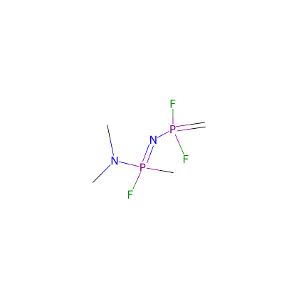 C=P(F)(F)N=P(C)(F)N(C)C